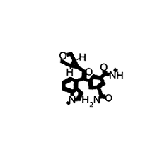 CNC(=O)c1cc(C(N)=O)cc2c(-c3cccc4c3ccn4C)c(C3[C@H]4COC[C@@H]34)oc12